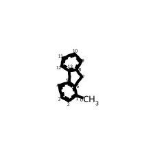 Cc1[c]ccc2c1Cc1ccccc1-2